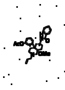 C=CCN1CCC2(c3cccc(OC(C)=O)c3)C[C@@H](NC(=O)c3ccccc3)CCC2(OC)C1